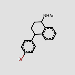 CC(=O)NC1CCC(c2ccc(Br)cc2)c2ccccc21